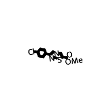 COC(=O)c1cn2cc(-c3ccc(Cl)cc3)nc2s1